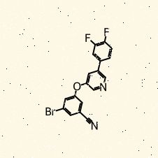 N#Cc1cc(Br)cc(Oc2cncc(-c3ccc(F)c(F)c3)c2)c1